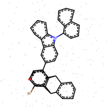 Brc1ccc(-c2ccc3c(c2)c2ccccc2n3-c2cccc3ccccc23)c2c1C1c3ccccc3C2c2ccccc21